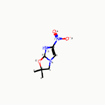 CC1(C)CN2C=C([N+](=O)[O-])NC2O1